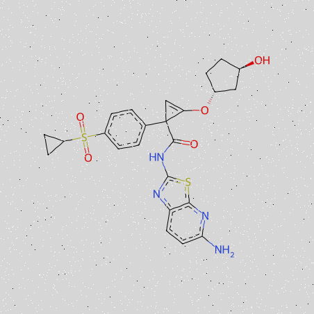 Nc1ccc2nc(NC(=O)C3(c4ccc(S(=O)(=O)C5CC5)cc4)C=C3O[C@@H]3CC[C@@H](O)C3)sc2n1